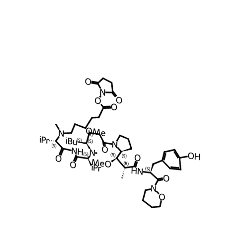 CC[C@H](C)[C@@H]([C@@H](CC(=O)N1CCC[C@H]1[C@H](OC)[C@@H](C)C(=O)N[C@@H](Cc1ccc(O)cc1)C(=O)N1CCCCO1)OC)N(C)[C@H](C(=O)NC(=O)[C@H](C(C)C)N(C)CCCCCC(=O)ON1C(=O)CCC1=O)C(C)C